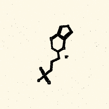 O=S(=O)([O-])CCCC1COc2cscc2O1.[K+]